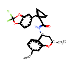 CCOC(=O)[C@H]1C[C@@H](NC(=O)C2(c3ccc4c(c3)OC(F)(F)O4)CC2)c2ccc(OC)cc2O1